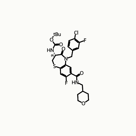 CC(C)(C)OC(=O)N[C@H]1CSc2cc(F)c(C(=O)NCC3CCOCC3)cc2N(Cc2ccc(Cl)c(F)c2)C1=O